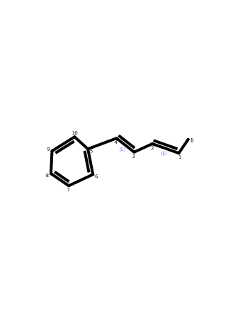 [CH2]/C=C/C=C/c1ccccc1